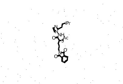 CC(=O)SC(CCCN1C(=O)c2ccccc2C1=O)C(=O)Nn1ccnc1CCC(C)C